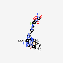 COc1cc(N2CCN(CCC3CCN(C4CN(c5cc6c(cc5F)C(=O)N(C5CCC(=O)NC5=O)C6=O)C4)CC3)CC2)c(-c2cnn(C)c2)cc1Nc1ncc(Br)c(Nc2ccc(C)c(C)c2P(C)C)n1